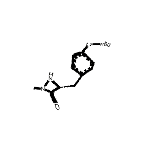 CCCCOc1ccc(C[C@@H]2NN(C)C2=O)cc1